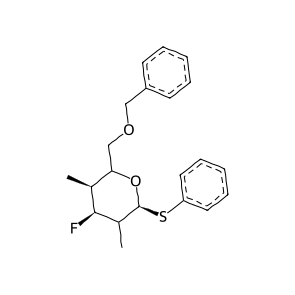 CC1[C@@H](F)[C@@H](C)C(COCc2ccccc2)O[C@H]1Sc1ccccc1